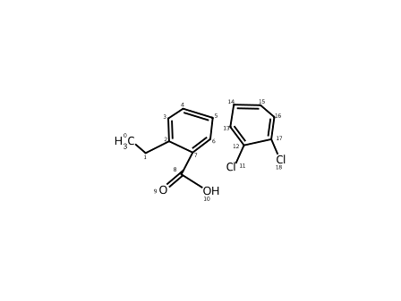 CCc1ccccc1C(=O)O.Clc1ccccc1Cl